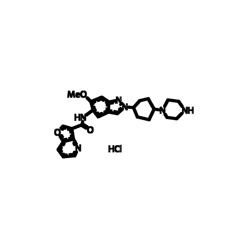 COc1cc2nn(C3CCC(N4CCNCC4)CC3)cc2cc1NC(=O)c1coc2cccnc12.Cl